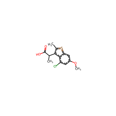 COc1cc(Cl)c2c(C(C)C(=O)O)c(C)sc2c1